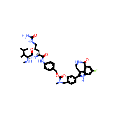 CN[C@H](C(=O)N[C@@H](CCCNC(N)=O)C(=O)Nc1ccc(COC(=O)N(C)Cc2ccc(-c3[nH]c4cc(F)cc5c4c3CCNC5=O)cc2)cc1)C(C)C(C)C